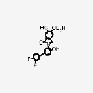 O=C(O)c1cc2c(cc1O)C(=O)N(c1cc(-c3ccc(F)c(F)c3)ccc1O)C2